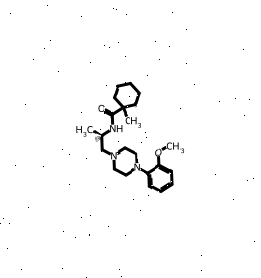 COc1ccccc1N1CCN(C[C@@H](C)NC(=O)C2(C)CCCCC2)CC1